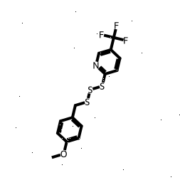 COc1ccc(CSSSc2ccc(C(F)(F)F)cn2)cc1